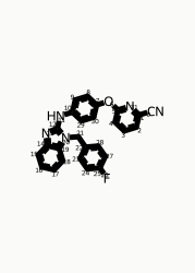 N#Cc1cccc(Oc2ccc(Nc3nc4ccccc4n3Cc3ccc(F)cc3)cc2)n1